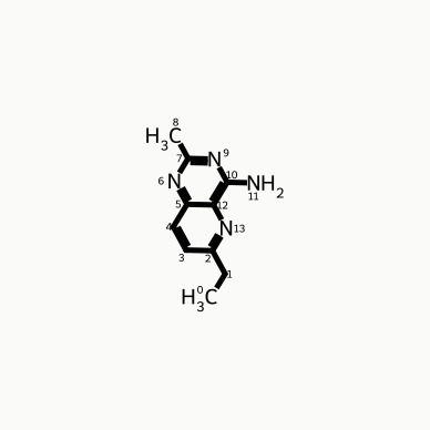 CCc1ccc2nc(C)nc(N)c2n1